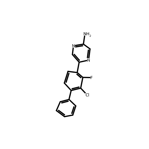 Nc1cnc(-c2ccc(-c3ccccc3)c(Cl)c2F)cn1